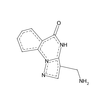 NCc1cnn2c1[nH]c(=O)c1ccccc12